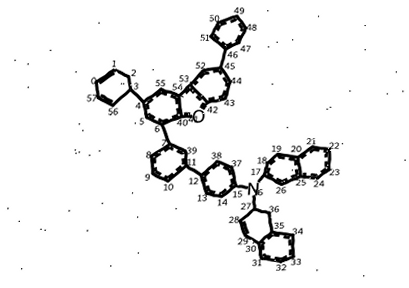 C1=CCC(c2cc(-c3cccc(-c4ccc(N(c5ccc6ccccc6c5)C5C=Cc6ccccc6C5)cc4)c3)c3oc4ccc(-c5ccccc5)cc4c3c2)C=C1